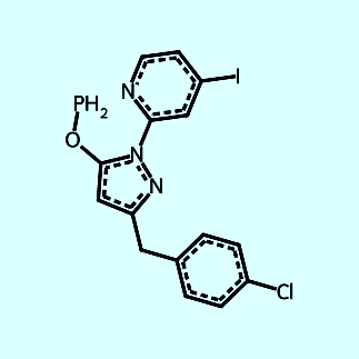 POc1cc(Cc2ccc(Cl)cc2)nn1-c1cc(I)ccn1